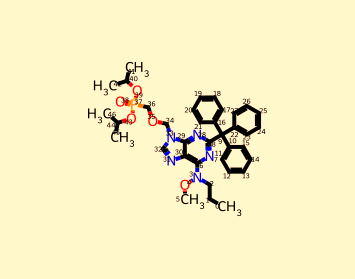 CCCN(OC)c1nc(C(c2ccccc2)(c2ccccc2)c2ccccc2)nc2c1ncn2COCP(=O)(OC(C)C)OC(C)C